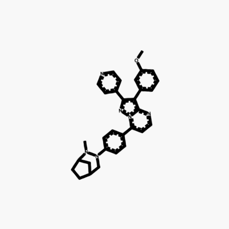 COc1cccc(-c2c(-c3ccncc3)nn3c(-c4ccc(N5CC6CCC(C6)N5C)cc4)ccnc23)c1